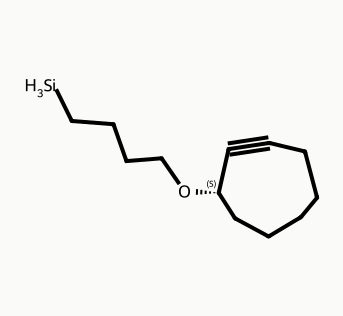 [SiH3]CCCCO[C@@H]1C#CCCCCC1